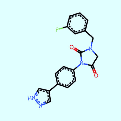 O=C1CN(Cc2cccc(F)c2)C(=O)N1c1ccc(-c2cn[nH]c2)cc1